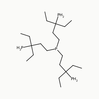 CCC(P)(CC)CCP(CCC(P)(CC)CC)CCC(P)(CC)CC